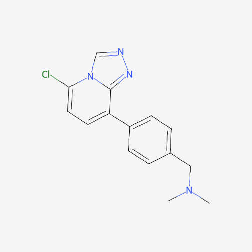 CN(C)Cc1ccc(-c2ccc(Cl)n3cnnc23)cc1